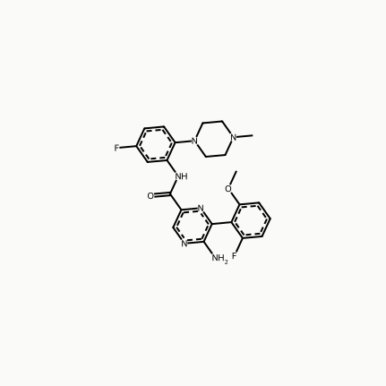 COc1cccc(F)c1-c1nc(C(=O)Nc2cc(F)ccc2N2CCN(C)CC2)cnc1N